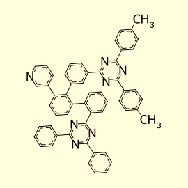 Cc1ccc(-c2nc(-c3ccc(C)cc3)nc(-c3cccc(-c4c(-c5cccnc5)cccc4-c4ccccc4-c4nc(-c5ccccc5)nc(-c5ccccc5)n4)c3)n2)cc1